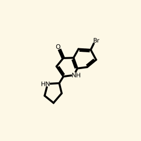 O=c1cc(C2CCCN2)[nH]c2ccc(Br)cc12